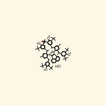 COc1c(C(C)(C)C)cc([C@@H](C)c2cc(C)cc([C@H](C)c3cc(C(C)(C)C)c(OC)c(C(C)(C)C)c3)c2N2CN(c3c([C@H](C)c4cc(C(C)(C)C)c(OC)c(C(C)(C)C)c4)cc(C)cc3[C@H](C)c3cc(C(C)(C)C)c(OC)c(C(C)(C)C)c3)C3=C2c2cccc4cccc3c24)cc1C(C)(C)C.Cl